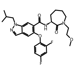 COCCN1CCCC[C@H](NC(=O)c2cc3c(cnn3CC(C)C)cc2Oc2ccc(F)cc2F)C1=O